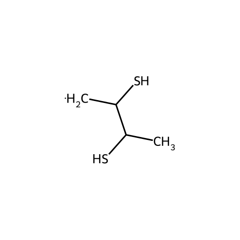 [CH2]C(S)C(C)S